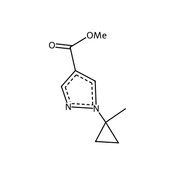 COC(=O)c1cnn(C2(C)CC2)c1